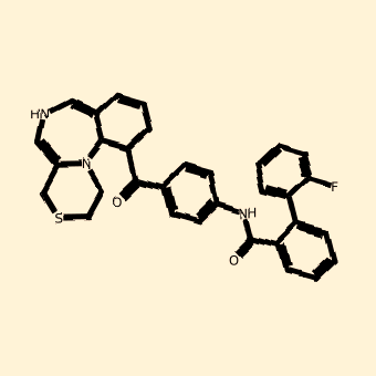 O=C(Nc1ccc(C(=O)C2CC=CC3=CNC=C4CSCCN4C32)cc1)c1ccccc1-c1ccccc1F